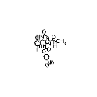 CNC(=O)c1nc(NC(=O)Oc2ccc([N+](=O)[O-])cc2)c2n1CC(=O)NC2c1cc(F)ccc1Cl